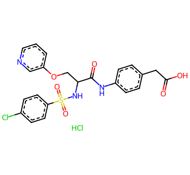 Cl.O=C(O)Cc1ccc(NC(=O)C(COc2cccnc2)NS(=O)(=O)c2ccc(Cl)cc2)cc1